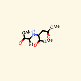 CCC(NC(CC(=O)OC)C(=O)OC)C(=O)OC